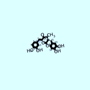 CN(C(=O)/C=C/c1ccc(O)c(O)c1)[C@H](Cc1ccc(O)c(O)c1)C(=O)O